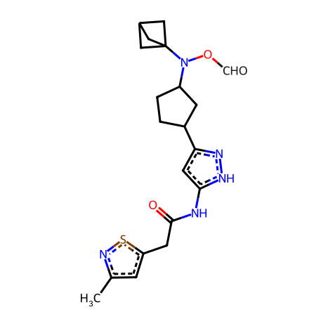 Cc1cc(CC(=O)Nc2cc(C3CCC(N(OC=O)C45CC(C4)C5)C3)n[nH]2)sn1